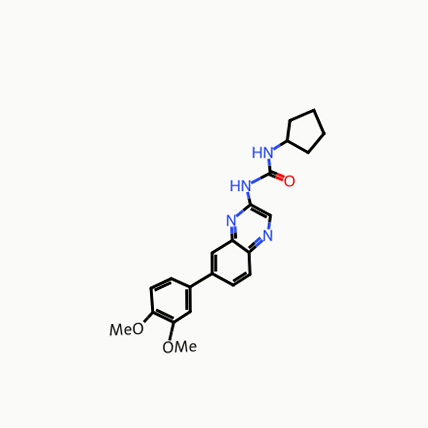 COc1ccc(-c2ccc3ncc(NC(=O)NC4CCCC4)nc3c2)cc1OC